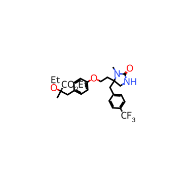 CCOC(=O)C(C)(Cc1ccc(OCCC2(Cc3ccc(C(F)(F)F)cc3)CNC(=O)N2C)cc1)OCC